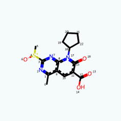 Cc1nc([S+](C)[O-])nc2c1cc(C(=O)O)c(=O)n2C1CCCC1